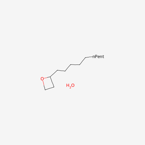 CCCCCCCCCCC1CCO1.O